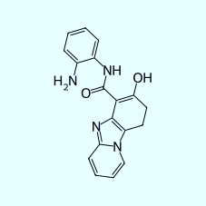 Nc1ccccc1NC(=O)C1=C(O)CCc2c1nc1ccccn21